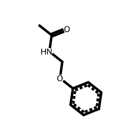 CC(=O)NCOc1ccccc1